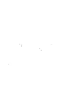 Fc1cccc2cc(C3=NC4(CCC4)Cc4c(Cl)cccc43)cnc12